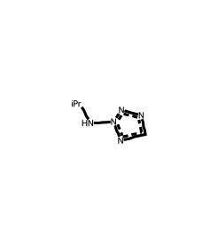 CC(C)Nn1ncnn1